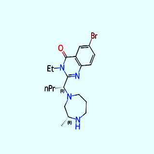 CCC[C@H](c1nc2ccc(Br)cc2c(=O)n1CC)N1CCCN[C@H](C)C1